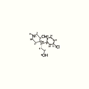 CN1CCC([C@@H](CCO)c2cc(Cl)ccc2Cl)CC1